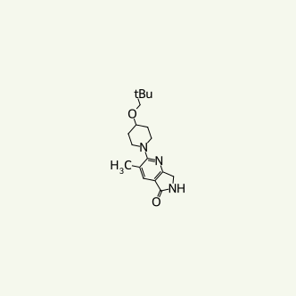 Cc1cc2c(nc1N1CCC(OCC(C)(C)C)CC1)CNC2=O